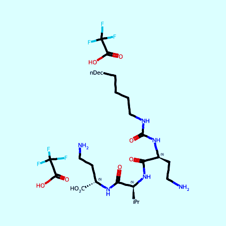 CCCCCCCCCCCCCCNC(=O)N[C@@H](CCN)C(=O)N[C@H](C(=O)N[C@@H](CCN)C(=O)O)C(C)C.O=C(O)C(F)(F)F.O=C(O)C(F)(F)F